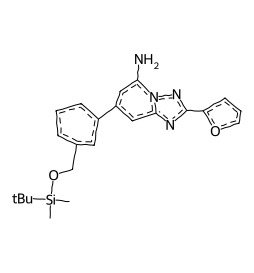 CC(C)(C)[Si](C)(C)OCc1cccc(-c2cc(N)n3nc(-c4ccco4)nc3c2)c1